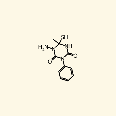 CC1(S)NC(=O)N(c2ccccc2)C(=O)N1N